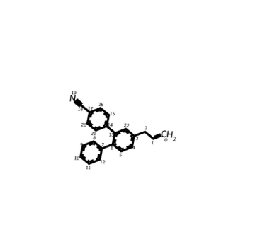 C=CCc1ccc(-c2ccccc2)c(-c2ccc(C#N)cc2)c1